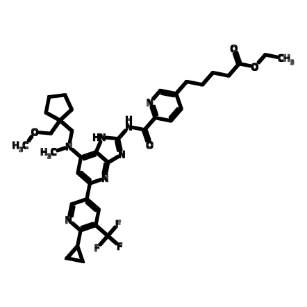 CCOC(=O)CCCCc1ccc(C(=O)Nc2nc3nc(-c4cnc(C5CC5)c(C(F)(F)F)c4)cc(N(C)CC4(COC)CCCC4)c3[nH]2)nc1